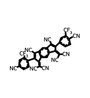 N#CC(C#N)=C1C(c2ccc(C#N)c(C(F)(F)F)c2)=C(C#N)c2cc3c(cc21)C(=C(C#N)C#N)C(c1ccc(C#N)cc1C(F)(F)F)=C3C#N